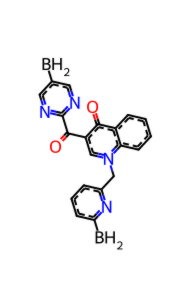 Bc1cnc(C(=O)c2cn(Cc3cccc(B)n3)c3ccccc3c2=O)nc1